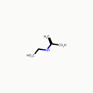 C=C(NCC(=O)O)C(=O)O